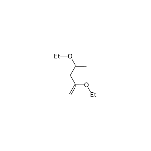 C=C(CC(=C)OCC)OCC